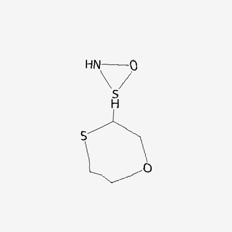 C1CSC([SH]2NO2)CO1